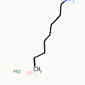 B.CCCCCCCCN.Cl